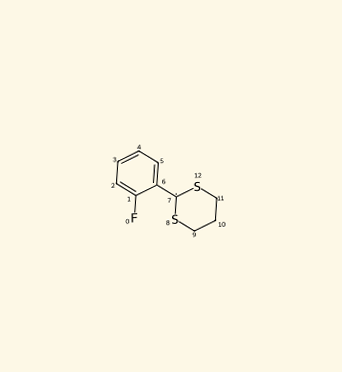 Fc1ccccc1[C]1SCCCS1